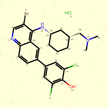 CC(=O)c1cnc2ccc(-c3cc(F)c(O)c(Cl)c3)cc2c1N[C@H]1CCC[C@@H](CN(C)C)C1.Cl